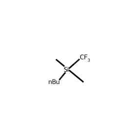 CCCC[Si](C)(C)C(F)(F)F